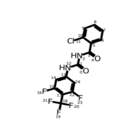 O=C(NC(=O)c1ccccc1Cl)Nc1cc(F)c(C(F)(F)F)c(F)c1